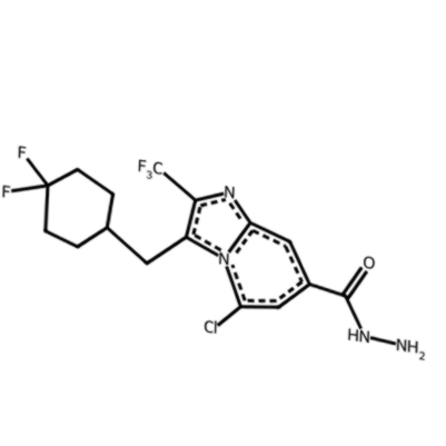 NNC(=O)c1cc(Cl)n2c(CC3CCC(F)(F)CC3)c(C(F)(F)F)nc2c1